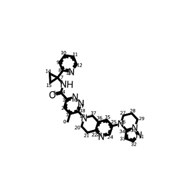 Cc1cc(C(=O)NC2(c3ccccn3)CC2)nnc1N1CCc2ncc(N3CCCn4nccc43)cc2C1